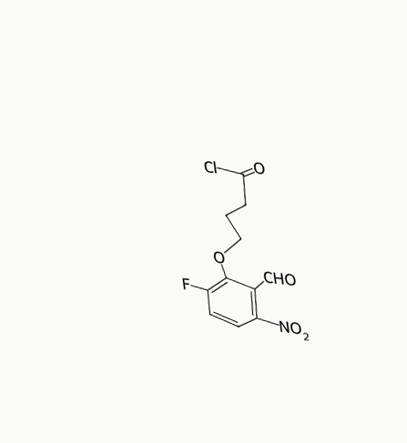 O=Cc1c([N+](=O)[O-])ccc(F)c1OCCCC(=O)Cl